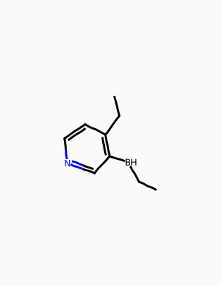 CCBc1cnccc1CC